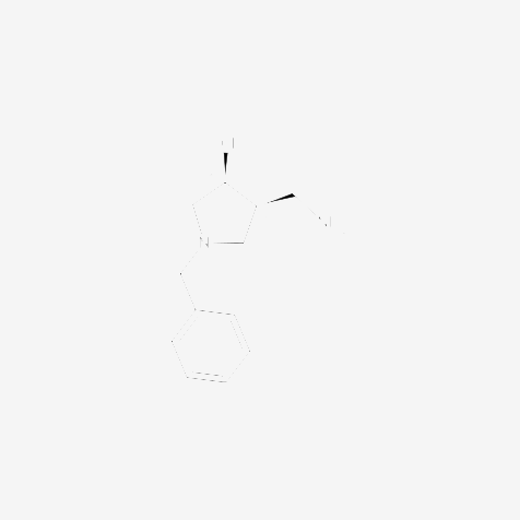 C[C@@H]1CN(Cc2ccccc2)C[C@@H]1CN